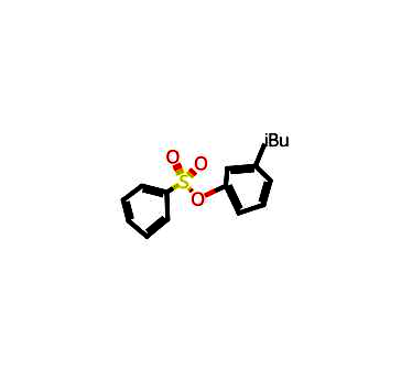 CCC(C)c1cccc(OS(=O)(=O)c2ccccc2)c1